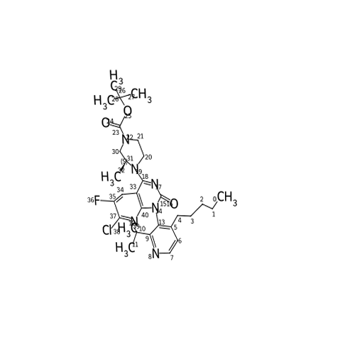 CCCCCc1ccnc(C(C)C)c1-n1c(=O)nc(N2CCN(C(=O)OC(C)(C)C)C[C@@H]2C)c2cc(F)c(Cl)nc21